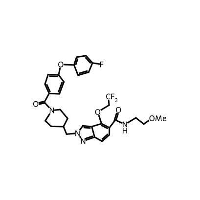 COCCNC(=O)c1ccc2nn(CC3CCN(C(=O)c4ccc(Oc5ccc(F)cc5)cc4)CC3)cc2c1OCC(F)(F)F